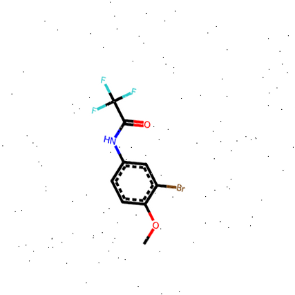 COc1ccc(NC(=O)C(F)(F)F)cc1Br